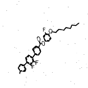 CCCCCCCCOc1ccc(OC(=O)c2ccc(-c3ccc(-c4ccc(C)cc4)c(F)c3F)cc2)cc1F